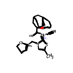 Cc1cn(C[C@H]2CCCO2)/c(=[N+](/C#N)C(=N)C23CC4CC(CC(C4)O2)C3)s1